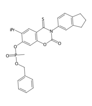 CC(C)c1cc2c(=S)n(-c3ccc4c(c3)CCC4)c(=O)oc2cc1OP(C)(=O)OCc1ccccc1